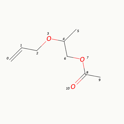 C=CCOC(C)COC(C)=O